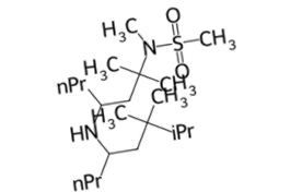 CCCC(CC(C)(C)C(C)C)NC(CCC)CC(C)(C)N(C)S(C)(=O)=O